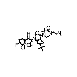 CN(C)CCN1CCN(C(=O)c2sc(C(C)(C)C)cc2NC(=O)Nc2ccc(F)c(Cl)c2Cl)C(C)(C)C1=O